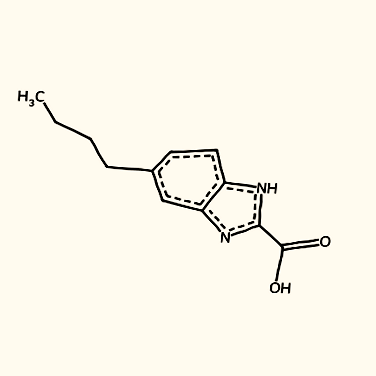 CCCCc1ccc2[nH]c(C(=O)O)nc2c1